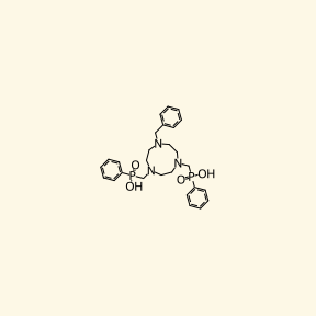 O=P(O)(CN1CCN(Cc2ccccc2)CCN(CP(=O)(O)c2ccccc2)CC1)c1ccccc1